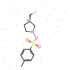 Cc1ccc(S(=O)(=O)ON2CC[C@@H](CF)C2)cc1